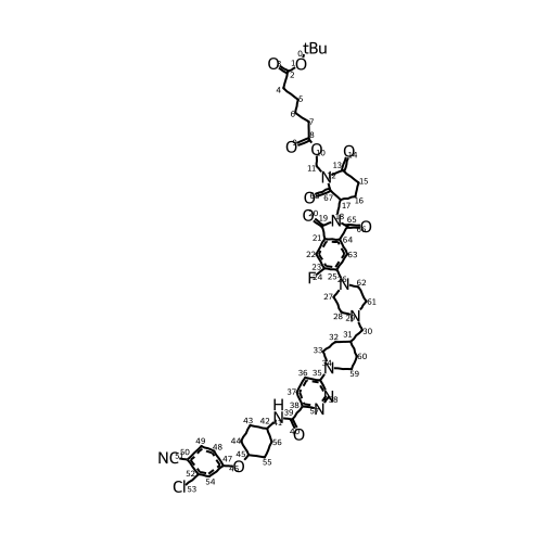 CC(C)(C)OC(=O)CCCCC(=O)OCN1C(=O)CCC(N2C(=O)c3cc(F)c(N4CCN(CC5CCN(c6ccc(C(=O)NC7CCC(Oc8ccc(C#N)c(Cl)c8)CC7)nn6)CC5)CC4)cc3C2=O)C1=O